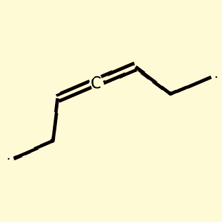 [CH2]CC=C=CC[CH2]